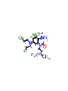 CN(C)CCN(C=O)c1cc(N(CCCl)CCCl)ccc1N.Cl